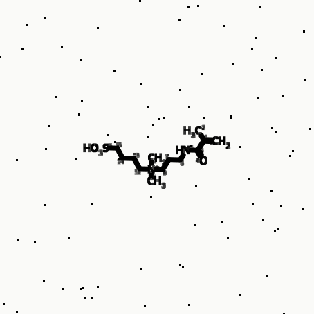 C=C(C)C(=O)NCCC[N+](C)(C)CCCCS(=O)(=O)O